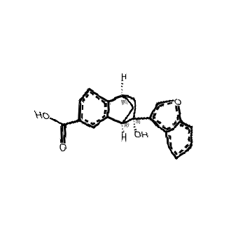 O=C(O)c1ccc2c(c1)[C@H]1C[C@@H]2C[C@@]1(O)c1coc2ccccc12